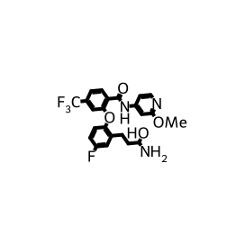 COc1cc(NC(=O)c2ccc(C(F)(F)F)cc2Oc2ccc(F)cc2CCC(N)O)ccn1